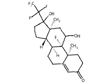 C[C@]12CC(O)[C@]3(F)[C@@H](CCC4=CC(=O)CC[C@@]43C)[C@@H]1CCC2(O)C(F)(F)C(F)(F)F